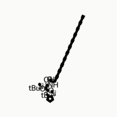 C#CC#CC#CC#CC#CC#CC#CC#CC#CC#CC#CCC(=O)N[C@@H](CO)[C@H](O[Si](C)(C)C(C)(C)C)[C@@H](CC1CCCC1)O[Si](C)(C)C(C)(C)C